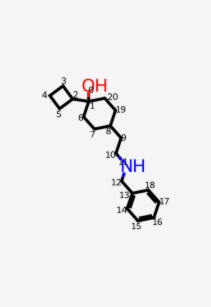 OC1(C2CCC2)CCC(CCNCc2ccccc2)CC1